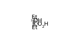 CCC#CCC.O=C(O)O